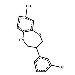 Oc1cccc(C2CNc3ccc(O)cc3OC2)c1